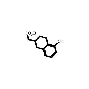 CCOC(=O)CC1CCc2c(O)cccc2C1